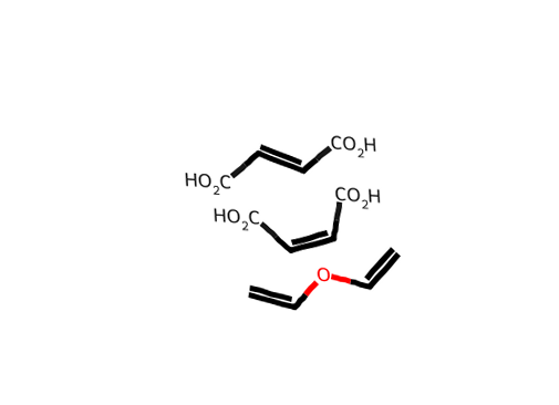 C=COC=C.O=C(O)/C=C/C(=O)O.O=C(O)/C=C\C(=O)O